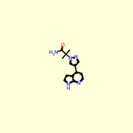 CC(C)(C(N)=O)n1cc(-c2ccnc3[nH]ccc23)cn1